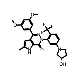 COc1cc(OC)cc(-c2nn(-c3cc(N4CC[C@H](O)C4)ccc3C(F)(F)F)c(=O)c3[nH]c(C)cc23)c1